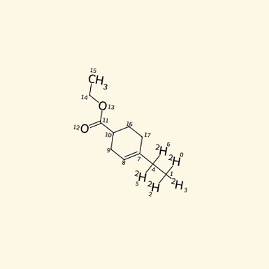 [2H]C([2H])([2H])C([2H])([2H])C1=CCC(C(=O)OCC)CC1